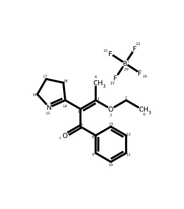 CCOC(C)=C(C(=O)c1ccccc1)C1=NCCC1.F[B-](F)(F)F